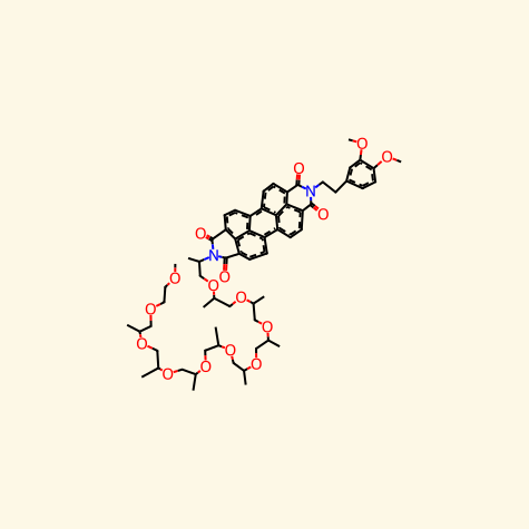 COCCOCC(C)OCC(C)OCC(C)OCC(C)OCC(C)OCC(C)OCC(C)OCC(C)OCC(C)N1C(=O)c2ccc3c4ccc5c6c(ccc(c7ccc(c2c37)C1=O)c64)C(=O)N(CCc1ccc(OC)c(OC)c1)C5=O